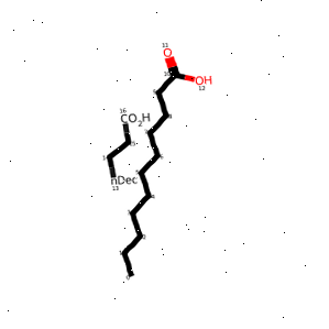 CCCCCCCCCCC(=O)O.CCCCCCCCCCCCC(=O)O